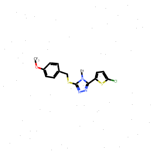 CCn1c(SCc2ccc(OC(F)(F)F)cc2)nnc1-c1ccc(Cl)s1